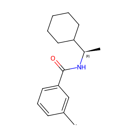 [CH2]c1cccc(C(=O)N[C@H](C)C2CCCCC2)c1